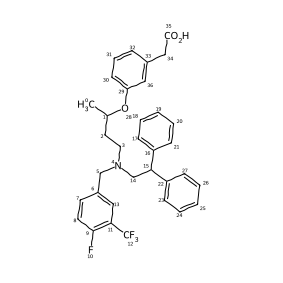 CC(CCN(Cc1ccc(F)c(C(F)(F)F)c1)CC(c1ccccc1)c1ccccc1)Oc1cccc(CC(=O)O)c1